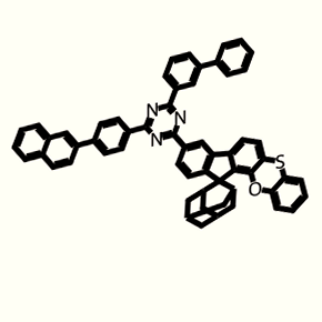 c1ccc(-c2cccc(-c3nc(-c4ccc(-c5ccc6ccccc6c5)cc4)nc(-c4ccc5c(c4)-c4ccc6c(c4C54C5CC7CC(C5)CC4C7)Oc4ccccc4S6)n3)c2)cc1